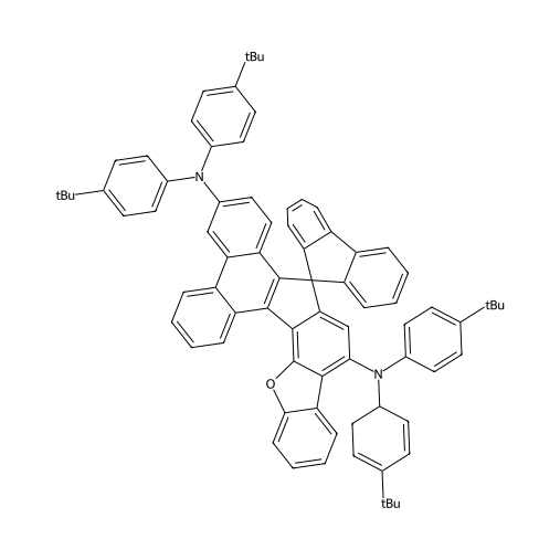 CC(C)(C)C1=CCC(N(c2ccc(C(C)(C)C)cc2)c2cc3c(c4oc5ccccc5c24)-c2c(c4ccc(N(c5ccc(C(C)(C)C)cc5)c5ccc(C(C)(C)C)cc5)cc4c4ccccc24)C32c3ccccc3-c3ccccc32)C=C1